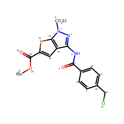 CCOC(=O)n1nc(NC(=O)c2ccc(CCl)cc2)c2cc(C(=O)OC(C)(C)C)sc21